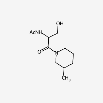 CC(=O)NC(CO)C(=O)N1CCCC(C)C1